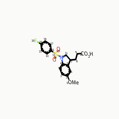 COc1ccc2c(c1)C(CCC(=O)O)CN2S(=O)(=O)c1ccc(F)cc1